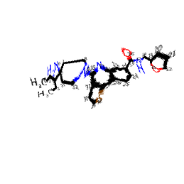 CCC(CC)C1(N)CCN(c2nc3cc(C(=O)NCC4CCCO4)ccc3c3sccc23)CC1